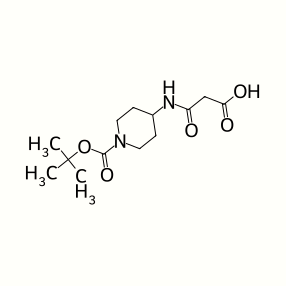 CC(C)(C)OC(=O)N1CCC(NC(=O)CC(=O)O)CC1